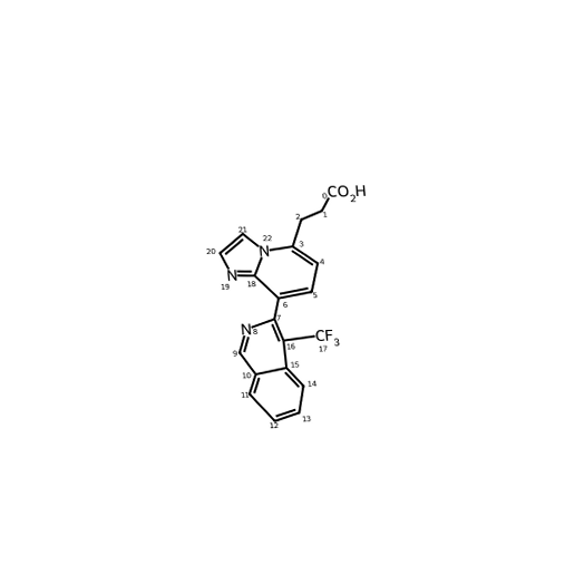 O=C(O)CCc1ccc(-c2ncc3ccccc3c2C(F)(F)F)c2nccn12